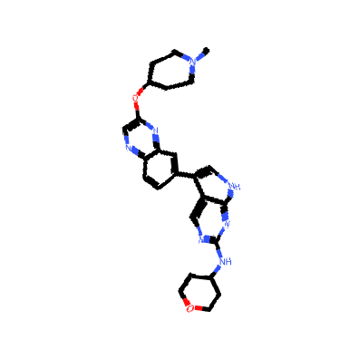 CN1CCC(Oc2cnc3ccc(-c4c[nH]c5nc(NC6CCOCC6)ncc45)cc3n2)CC1